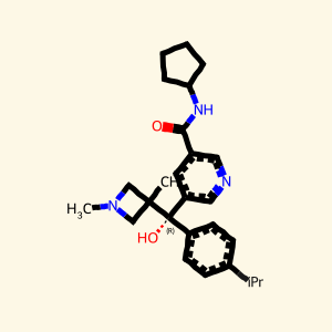 CC(C)c1ccc([C@](O)(c2cncc(C(=O)NC3CCCC3)c2)C2(C)CN(C)C2)cc1